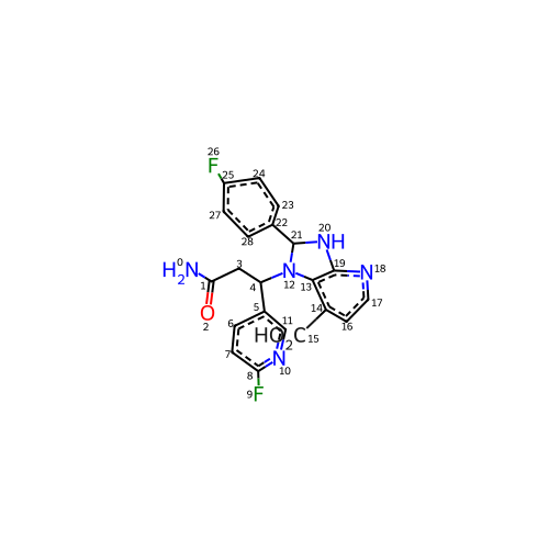 NC(=O)CC(c1ccc(F)nc1)N1c2c(C(=O)O)ccnc2NC1c1ccc(F)cc1